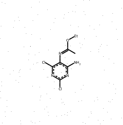 CCO/C(C)=N/c1c(N)nc(Cl)nc1Cl